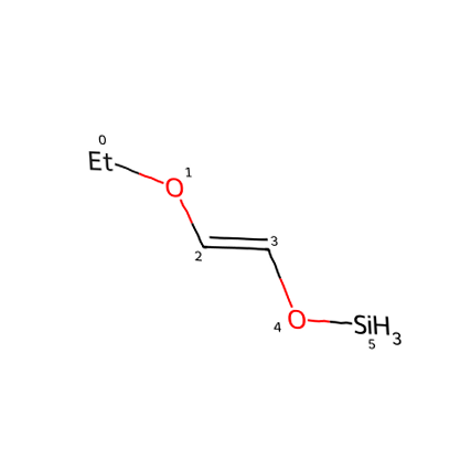 CCOC=CO[SiH3]